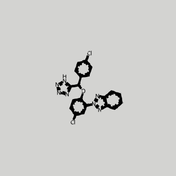 Clc1ccc(C(Oc2ccc(Cl)cc2-n2nc3ccccc3n2)c2nnn[nH]2)cc1